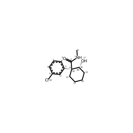 CNC(=O)[C@]1(c2cccc(Cl)c2)CCCC[C@H]1O